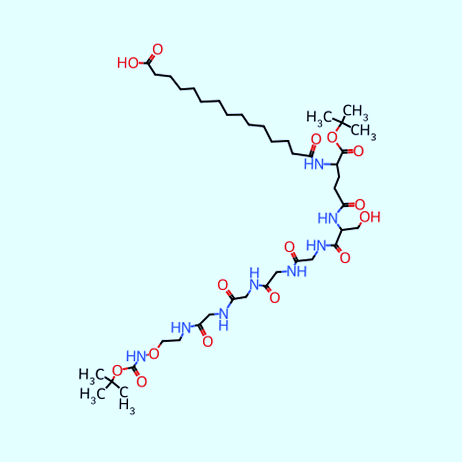 CC(C)(C)OC(=O)NOCCNC(=O)CNC(=O)CNC(=O)CNC(=O)CNC(=O)C(CO)NC(=O)CCC(NC(=O)CCCCCCCCCCCCCC(=O)O)C(=O)OC(C)(C)C